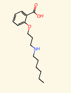 CCCCCCNCCCOc1ccccc1C(=O)O